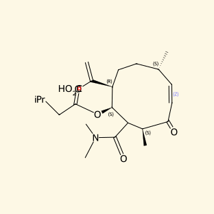 C=C(C(=O)O)[C@H]1CC[C@H](C)/C=C\C(=O)[C@@H](C)C(C(=O)N(C)C)[C@H]1OC(=O)CC(C)C